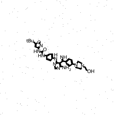 CC(C)(C)c1cc(NC(=O)Nc2ccc(Nc3ncnc(N)c3C(=N)c3ccc(N4CCN(CCO)CC4)cc3)cc2)no1